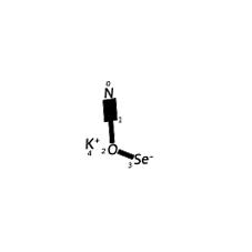 N#CO[Se-].[K+]